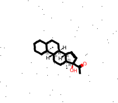 CC(=O)[C@@]1(O)C=C[C@H]2[C@@H]3CCC4CCCC[C@]4(C)[C@H]3CC[C@@]21C